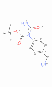 CC(C)(C)OC(=O)N(C(N)=O)c1ccc(CN)cc1